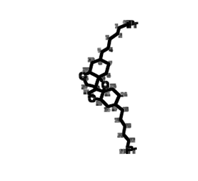 CC(C)CCCCCC1CCC2(OC34CCOC3CC(CCCCCC(C)C)CC4)CCOC2C1